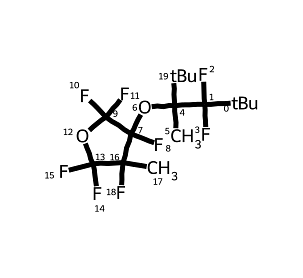 CC(C)(C)C(F)(F)C(C)(OC1(F)C(F)(F)OC(F)(F)C1(C)F)C(C)(C)C